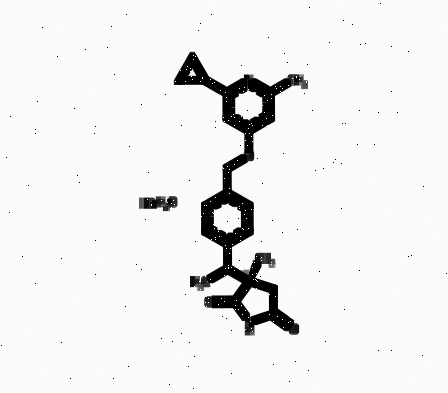 Br.Cc1cc(OCc2ccc(C(C)[C@]3(C)CC(=O)NC3=O)cc2)cc(C2CC2)n1.O